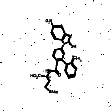 CSCC[C@H](NC(=O)c1ccc(-n2c(S)nc3cc([N+](=O)[O-])ccc32)cc1-c1ccccc1C)C(=O)O